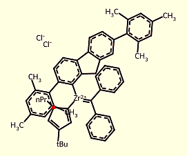 CCCC1C=C(C(C)(C)C)C=[C]1[Zr+2](=[C](c1ccccc1)c1ccccc1)[c]1c(-c2c(C)cc(C)cc2C)ccc2c1Cc1cc(-c3c(C)cc(C)cc3C)ccc1-2.[Cl-].[Cl-]